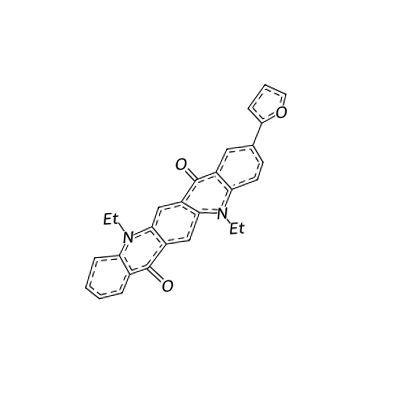 CCn1c2ccccc2c(=O)c2cc3c(cc21)c(=O)c1cc(-c2ccco2)ccc1n3CC